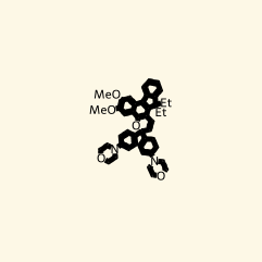 CCC1(CC)c2ccccc2-c2c1c1c(c3cc(OC)c(OC)cc23)OC(C2=CC=C(N3CCOCC3)CC2)(c2ccc(N3CCOCC3)cc2)C=C1